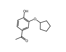 CC(=O)c1ccc(O)c(OC2CCCC2)c1